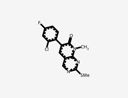 CSc1ncc2cc(-c3ccc(F)cc3Cl)c(=O)n(C)c2n1